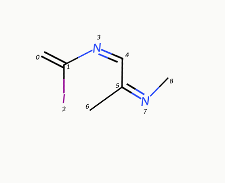 C=C(I)/N=C\C(C)=N/C